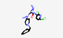 [N-]=[N+]=NC[C@@H](NC1CCN(Cc2ccccc2)CC1)C(=O)Nc1ccc(Cl)nc1Cl